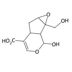 O=C(O)C1=COC(O)C2C1CC1OC12CO